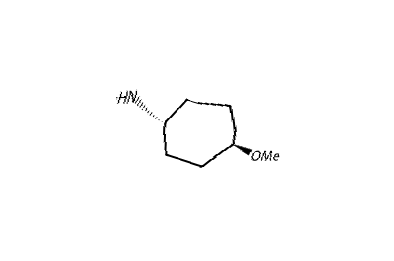 CO[C@H]1CC[C@H]([NH])CC1